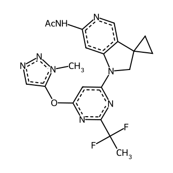 CC(=O)Nc1cc2c(cn1)C1(CC1)CN2c1cc(Oc2cnnn2C)nc(C(C)(F)F)n1